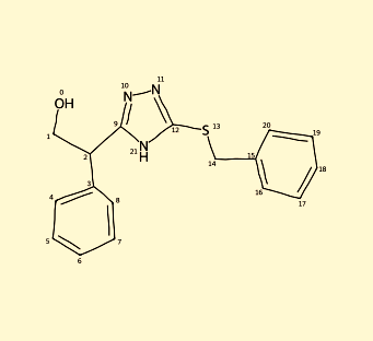 OCC(c1ccccc1)c1nnc(SCc2ccccc2)[nH]1